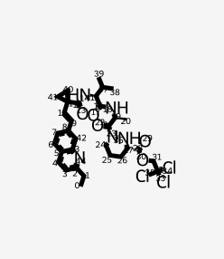 CCc1ccc2ccc(/C=C/C3(C(=O)N[C@H](C(=O)N[C@@H](C)C(=O)N4CCC[C@@H](C(=O)OCC(Cl)(Cl)Cl)N4)C(C)C)CC3)cc2n1